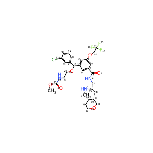 CN[C@H](CNC(=O)c1cc(OCC(F)(F)F)cc(C(OCCNC(=O)OC)c2cccc(Cl)c2)c1)C[C@H]1CCCOC1